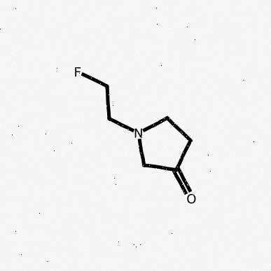 O=C1CCN(CCF)C1